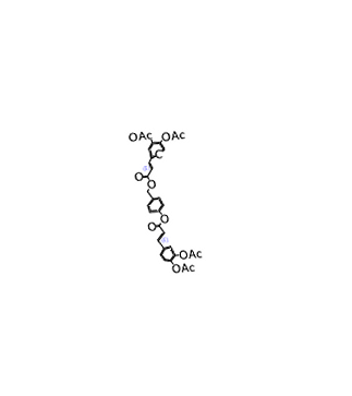 CC(=O)Oc1ccc(/C=C/C(=O)OCc2ccc(OC(=O)/C=C/c3ccc(OC(C)=O)c(OC(C)=O)c3)cc2)cc1OC(C)=O